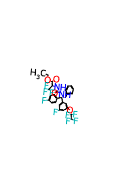 CCOC(=O)C(NC(=O)N[C@](Cc1ccccc1)(c1ccc(F)cc1)c1cc(F)cc(OC(F)(F)C(F)F)c1)C(F)(F)F